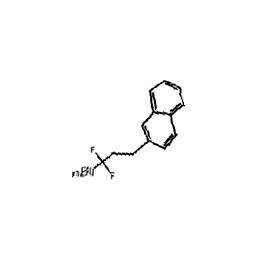 [CH2]CCCC(F)(F)CCc1ccc2ccccc2c1